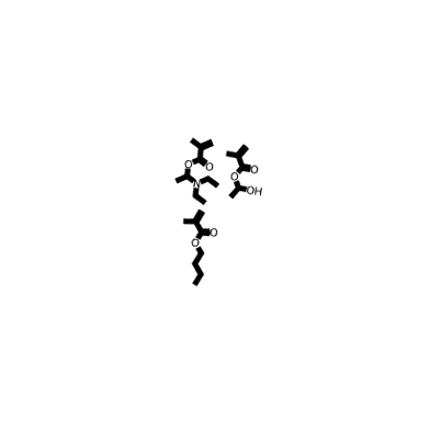 C=C(C)C(=O)OC(C)N(CC)CC.C=C(C)C(=O)OC(C)O.C=C(C)C(=O)OCCCC